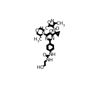 Cc1noc(C)c1S(=O)(=O)C1(c2cc(N3CCOC[C@@H]3C)nc(-c3ccc(NC(=O)NCCO)cc3)n2)CC1